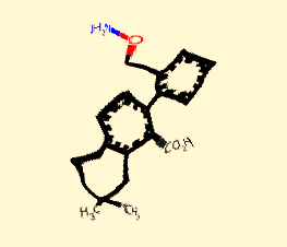 CC1(C)CCc2ccc(-c3ccccc3CON)c(C(=O)O)c2C1